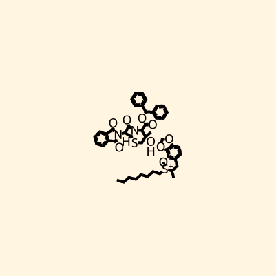 CC1(O)CS[C@@H]2C(N3C(=O)c4ccccc4C3=O)C(=O)N2C1C(=O)OC(c1ccccc1)c1ccccc1.CCCCCCCC[S+]([O-])C(C)Cc1ccc2c(c1)OCO2